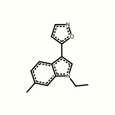 CCn1cc(-c2ccno2)c2ccc(C)cc21